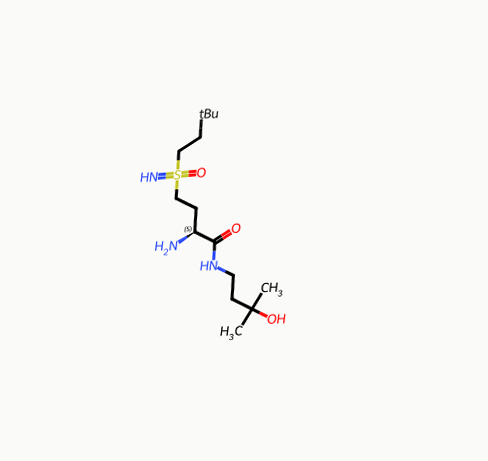 CC(C)(C)CCS(=N)(=O)CC[C@H](N)C(=O)NCCC(C)(C)O